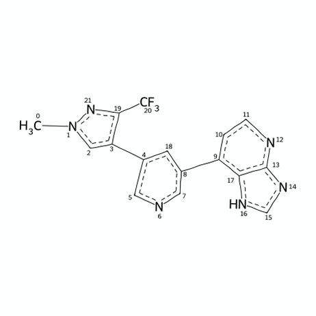 Cn1cc(-c2cncc(-c3ccnc4nc[nH]c34)c2)c(C(F)(F)F)n1